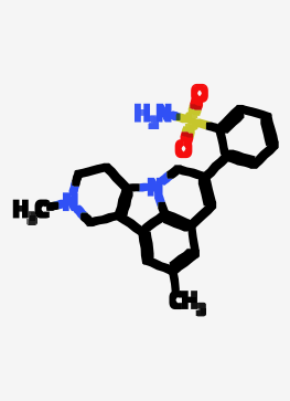 Cc1cc2c3c(c1)c1c(n3CC(c3ccccc3S(N)(=O)=O)=C2)CCN(C)C1